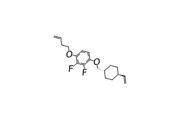 C=CCCOc1ccc(OC[C@H]2CC[C@H](C=C)CC2)c(F)c1F